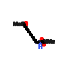 CNC(=O)C(=O)NC/C=C\CCCCCCCCCCCCC(=O)OC